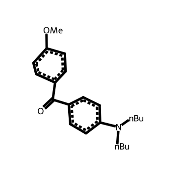 CCCCN(CCCC)c1ccc(C(=O)c2ccc(OC)cc2)cc1